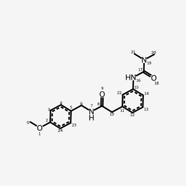 COc1ccc(CNC(=O)Cc2cccc(NC(=O)N(C)C)c2)cc1